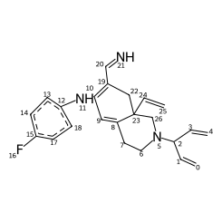 C=CC(C=C)N1CCC2=CC(Nc3ccc(F)cc3)=C(C=N)CC2(C=C)C1